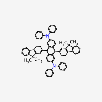 CC1(C)C2=C(CCC(c3c4ccc(N(c5ccccc5)c5ccccc5)cc4c(C4=CC5=C(CC4)c4ccccc4C5(C)C)c4ccc(N(c5ccccc5)c5ccccc5)cc34)=C2)c2ccccc21